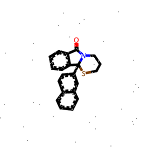 O=C1c2ccccc2C2(c3ccc4ccccc4c3)SCCCN12